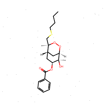 CCCCSC[C@@]1(C)OO[C@@H]2C[C@@H]1C[C@H](OC(=O)c1ccccc1)[C@]2(C)O